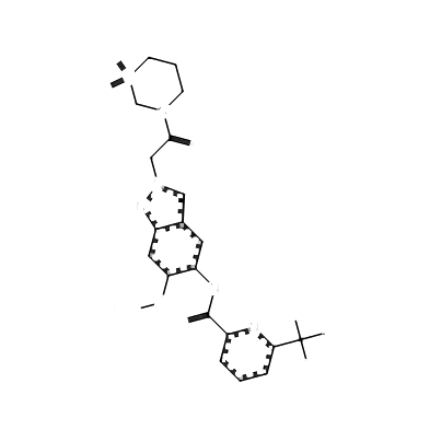 COc1cc2nn(CC(=O)N3CCCS(=O)(=O)C3)cc2cc1NC(=O)c1cccc(C(F)(F)F)n1